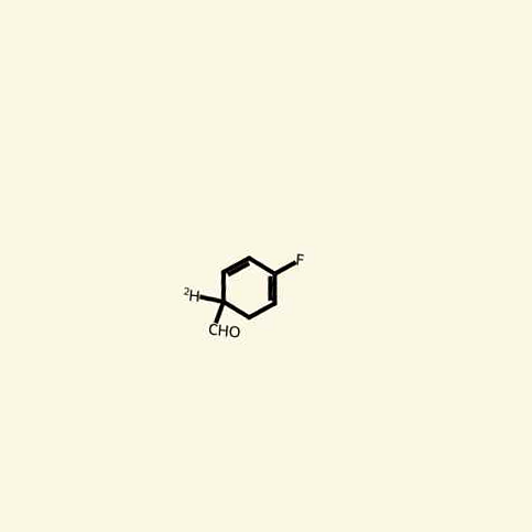 [2H]C1(C=O)C=CC(F)=CC1